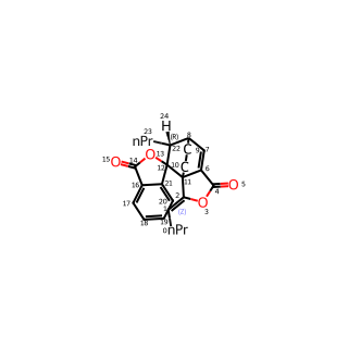 CCC/C=C1\OC(=O)C2=CC3CCC21C1(OC(=O)c2ccccc21)[C@@H]3CCC